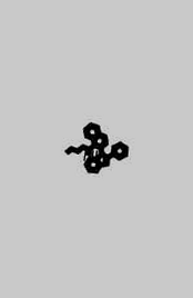 CCCCC(=N)c1c(C2C(c3ccccc3)=Cc3ccccc32)ccc2ccccc12